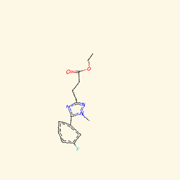 CCOC(=O)CCc1nc(-c2cccc(F)c2)n(C)n1